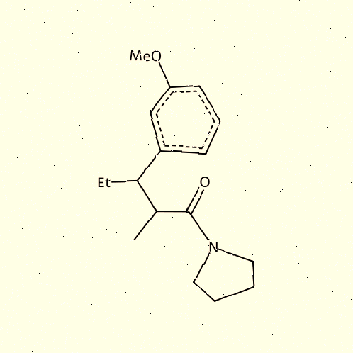 CCC(c1cccc(OC)c1)C(C)C(=O)N1CCCC1